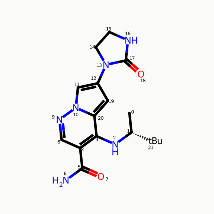 C[C@@H](Nc1c(C(N)=O)cnn2cc(N3CCNC3=O)cc12)C(C)(C)C